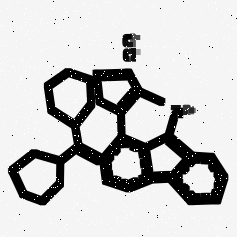 CC1=C(c2c3c(ccc2=C(C2CCCCC2)C2CCCCC2)=c2ccccc2=[C]3[Zr+2])CC=C1.[Cl-].[Cl-]